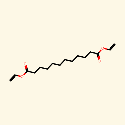 C=COC(=O)CCCCCCCCCCC(=O)OC=C